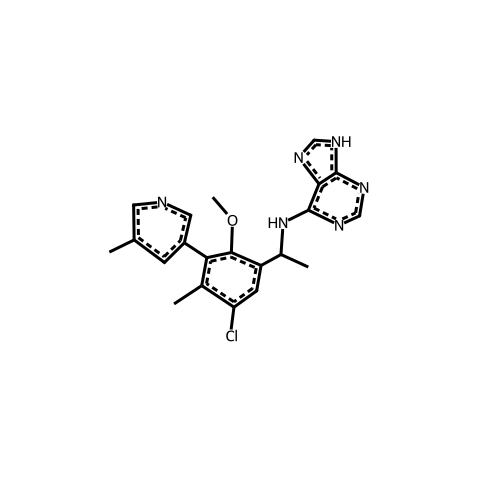 COc1c(C(C)Nc2ncnc3[nH]cnc23)cc(Cl)c(C)c1-c1cncc(C)c1